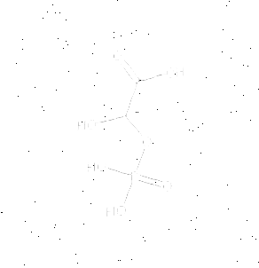 O=C(O)C(O)OP(=O)(O)O